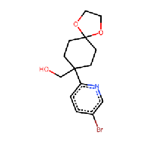 OCC1(c2ccc(Br)cn2)CCC2(CC1)OCCO2